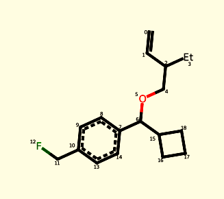 C=CC(CC)COC(c1ccc(CF)cc1)C1CCC1